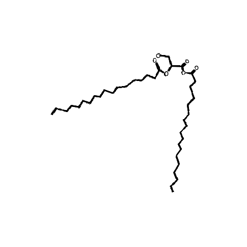 CCCCCCCCCCCCCCCCCC(=O)OC(=O)C(CCl)OC(=O)CCCCCCCCCCCCCCCCC